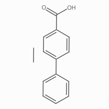 CC.O=C(O)c1ccc(-c2ccccc2)cc1